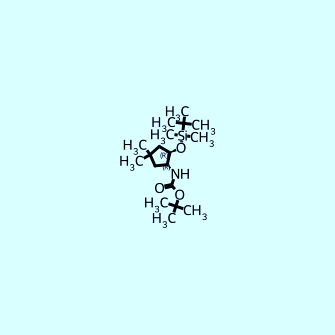 CC1(C)C[C@@H](NC(=O)OC(C)(C)C)[C@H](O[Si](C)(C)C(C)(C)C)C1